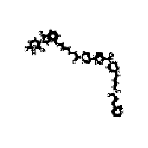 O=C(/C=C/c1cccnc1)NCCCCC1CCN(C(=O)c2ccc(N3CCN(C(=O)CCCCCSc4cccc5c4CN(C4CCC(=O)NC4=O)C5=O)CC3)nn2)CC1